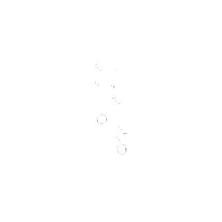 CCN1CCN(CC)CCN(C(=O)O)CCN(CC(=O)NCCCCN2C(=O)N(c3cc(Cl)cc(Cl)c3)C(=O)[C@]2(C)Cc2ccc(Br)cc2)CC1